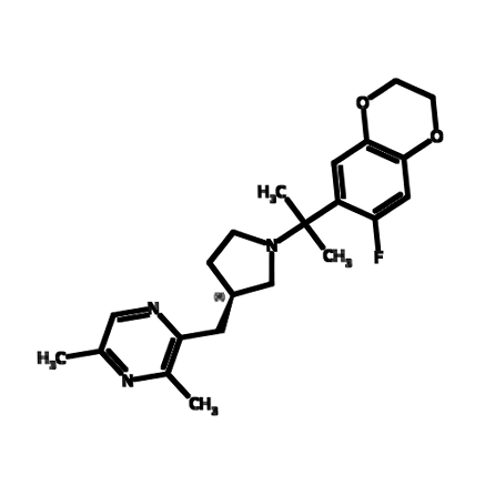 Cc1cnc(C[C@H]2CCN(C(C)(C)c3cc4c(cc3F)OCCO4)C2)c(C)n1